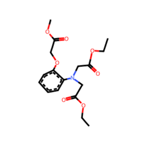 CCOC(=O)CN(CC(=O)OCC)c1ccccc1OCC(=O)OC